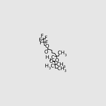 CCC(C)(CCCC(=O)OCC(F)(F)C(F)(F)F)OC(=O)C(C)(C)CC